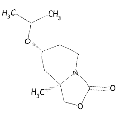 CC(C)O[C@@H]1CCN2C(=O)OC[C@@]2(C)C1